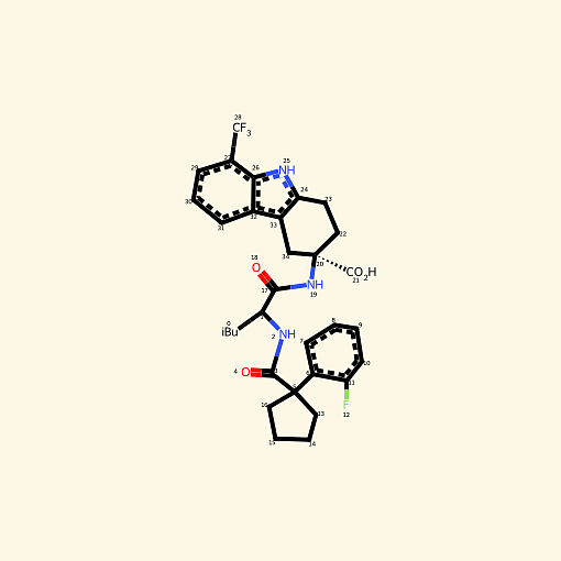 CCC(C)C(NC(=O)C1(c2ccccc2F)CCCC1)C(=O)N[C@]1(C(=O)O)CCc2[nH]c3c(C(F)(F)F)cccc3c2C1